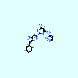 Cc1cc(Nc2ccn[nH]2)nc(NCc2cc(-c3ccccc3)on2)n1